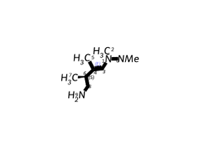 CNN(C)/C=C(\C)[C@H](C)CN